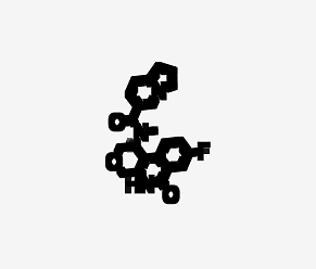 CN(C(=O)c1ccc2cccn2c1)[C@@H]1COCc2[nH]c(=O)c3cc(F)ccc3c21